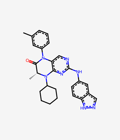 Cc1cccc(N2C(=O)[C@@H](C)N(C3CCCCC3)c3nc(Nc4ccc5[nH]ncc5c4)ncc32)c1